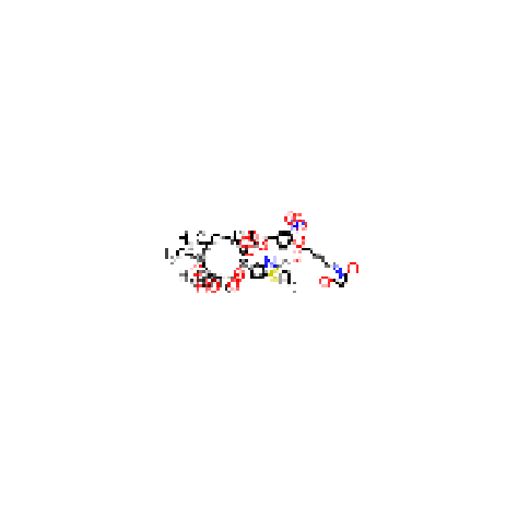 C=CC[C@@H]1C[C@@H](C)CCC[C@]2(C)O[C@@]2(OC(=O)OCc2ccc(OC(=O)CCCCCN3C(=O)C=CC3=O)c([N+](=O)[O-])c2)C[C@@H](c2ccc3sc(C)nc3c2)OC(=O)C[C@H](O)C(C)(C)C1=O